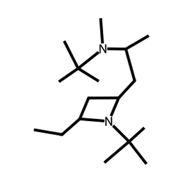 CCC1CC(CC(C)N(C)C(C)(C)C)N1C(C)(C)C